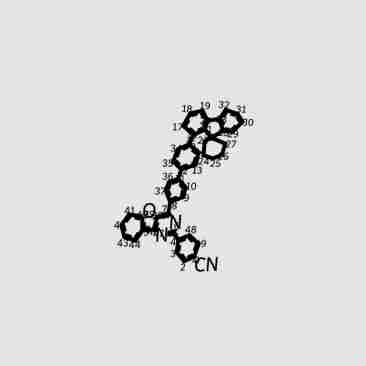 N#Cc1ccc(-c2nc(-c3ccc(-c4ccc(-c5cccc6c5C5(CCCCC5)c5ccccc5-6)cc4)cc3)c3oc4ccccc4c3n2)cc1